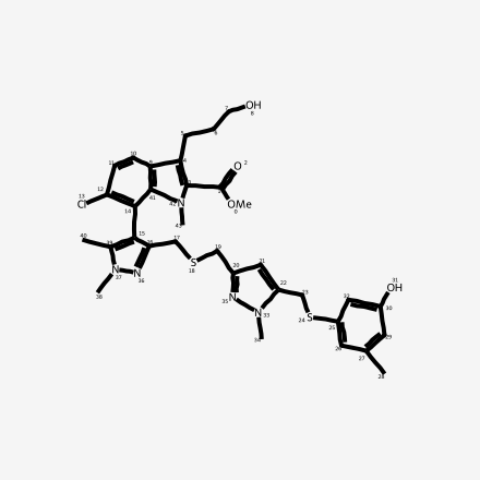 COC(=O)c1c(CCCO)c2ccc(Cl)c(-c3c(CSCc4cc(CSc5cc(C)cc(O)c5)n(C)n4)nn(C)c3C)c2n1C